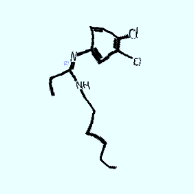 CCCCCCN/C(CC)=N\c1ccc(Cl)c(Cl)c1